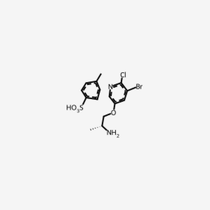 C[C@@H](N)COc1cnc(Cl)c(Br)c1.Cc1ccc(S(=O)(=O)O)cc1